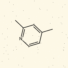 Cc1[c][c]nc(C)[c]1